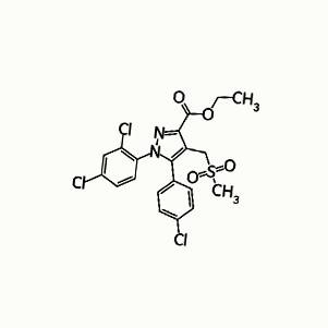 CCOC(=O)c1nn(-c2ccc(Cl)cc2Cl)c(-c2ccc(Cl)cc2)c1CS(C)(=O)=O